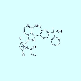 C=CC(=O)N1C(c2nc(-c3ccc(C(C)(O)c4ccccc4)cc3)c3c(N)nccn23)[C@@H]2C3[C@@H]1N32